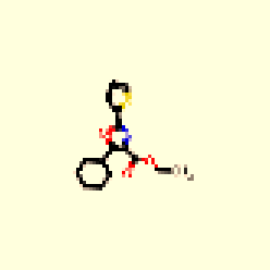 CCOC(=O)c1nc(-c2cccs2)oc1C1CCCCC1